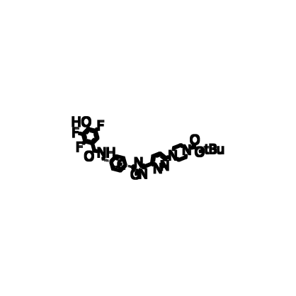 CC(C)(C)OC(=O)N1CCN(c2ccc(-c3noc([C@]45CC[C@](CNC(=O)c6cc(F)c(O)c(F)c6F)(CC4)CC5)n3)nn2)CC1